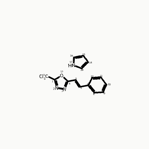 ClC(Cl)(Cl)c1nnc(C=Cc2ccccc2)o1.c1cc[nH]c1